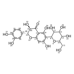 O=C1c2c(cc(O)c(C3OC(CO)C(O)C(O)C3O)c2O)O[C@H](c2ccc(O)c(O)c2)[C@H]1O